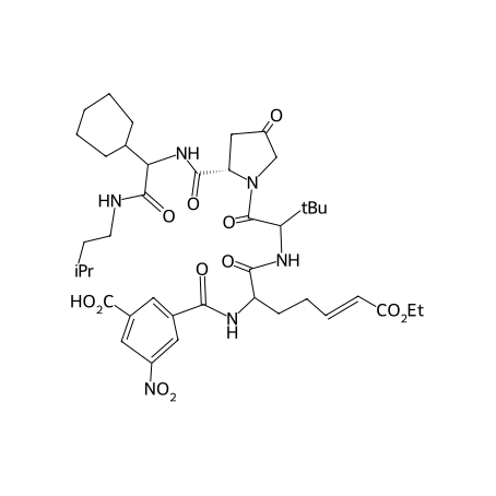 CCOC(=O)/C=C/CCC(NC(=O)c1cc(C(=O)O)cc([N+](=O)[O-])c1)C(=O)NC(C(=O)N1CC(=O)C[C@H]1C(=O)NC(C(=O)NCCC(C)C)C1CCCCC1)C(C)(C)C